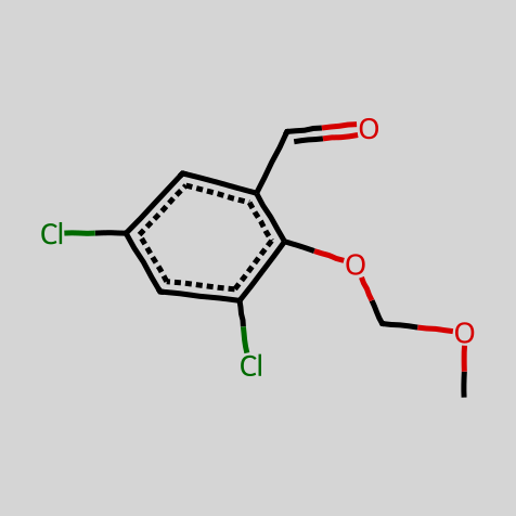 COCOc1c(Cl)cc(Cl)cc1C=O